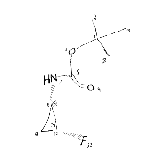 CC(C)(C)OC(=O)N[C@H]1C[C@H]1F